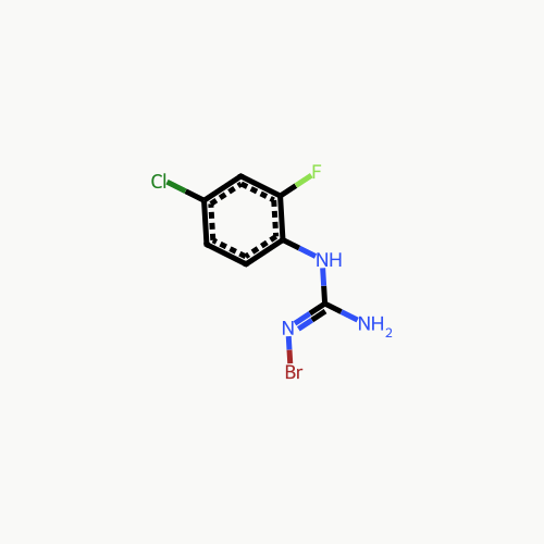 NC(=NBr)Nc1ccc(Cl)cc1F